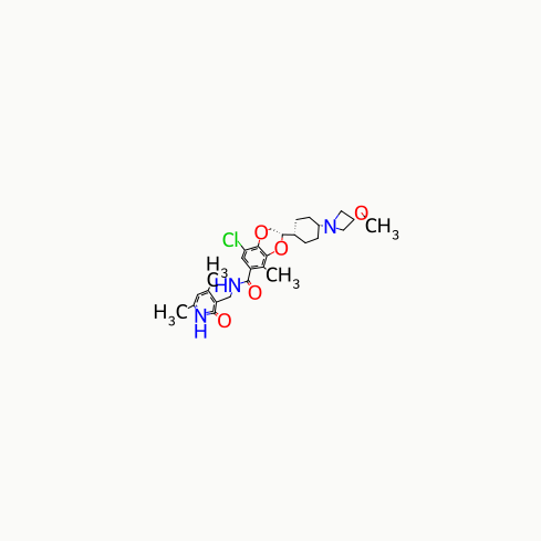 COC1CN([C@H]2CC[C@@H]([C@H]3COc4c(Cl)cc(C(=O)NCc5c(C)cc(C)[nH]c5=O)c(C)c4O3)CC2)C1